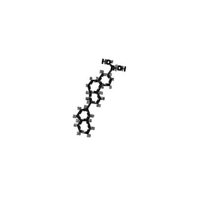 OB(O)c1ccc2c(ccc3cc(-c4ccc5ccccc5c4)ccc32)c1